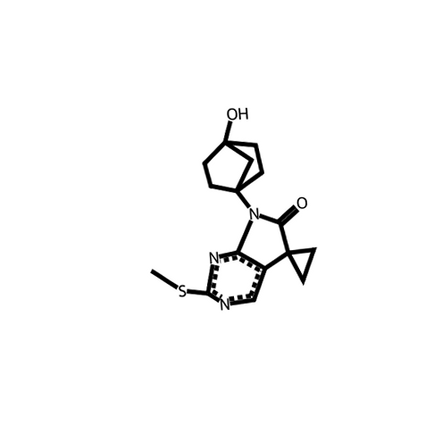 CSc1ncc2c(n1)N(C13CCC(O)(CC1)C3)C(=O)C21CC1